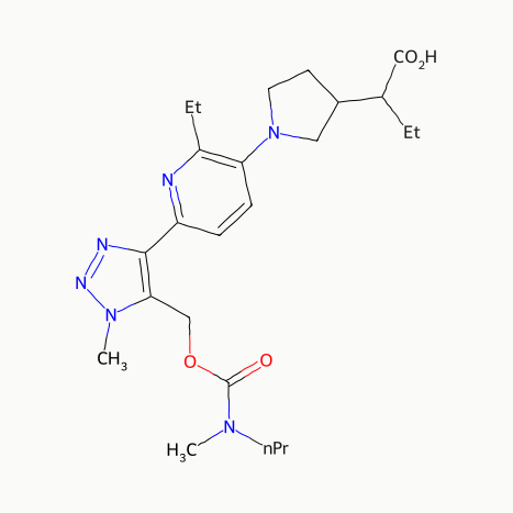 CCCN(C)C(=O)OCc1c(-c2ccc(N3CCC(C(CC)C(=O)O)C3)c(CC)n2)nnn1C